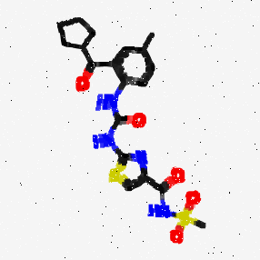 Cc1ccc(NC(=O)Nc2nc(C(=O)NS(C)(=O)=O)cs2)c(C(=O)C2CCCC2)c1